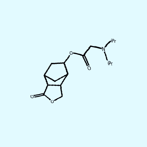 CC(C)N(CC(=O)OC1CC2CC1C1COC(=O)C21)C(C)C